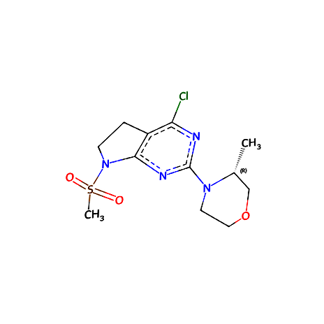 C[C@@H]1COCCN1c1nc(Cl)c2c(n1)N(S(C)(=O)=O)CC2